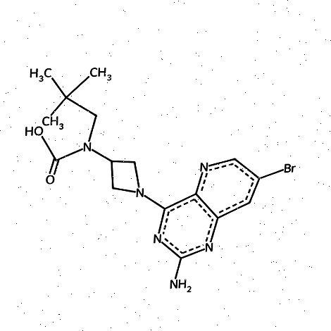 CC(C)(C)CN(C(=O)O)C1CN(c2nc(N)nc3cc(Br)cnc23)C1